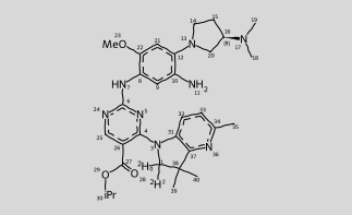 [2H]C1([2H])N(c2nc(Nc3cc(N)c(N4CC[C@@H](N(C)C)C4)cc3OC)ncc2C(=O)OC(C)C)c2ccc(C)nc2C1(C)C